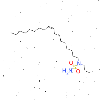 CCCCCCCC/C=C\CCCCCCCCN(CCC)S(N)(=O)=O